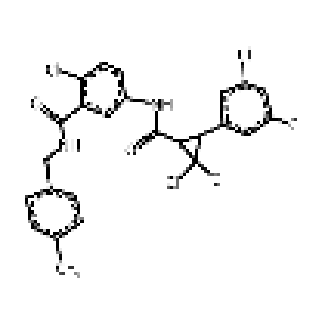 O=C(NCc1ccc(C(F)(F)F)cc1)c1cc(NC(=O)C2C(c3cc(Cl)cc(Cl)c3)C2(Cl)Cl)ccc1Cl